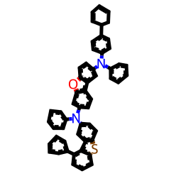 C1=CCC(c2ccc(N(c3ccccc3)c3ccc4oc5cc(N(c6ccccc6)c6ccc7sc8cccc(-c9ccccc9)c8c7c6)ccc5c4c3)cc2)C=C1